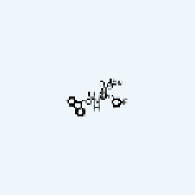 CC(C)(C)OC(=O)N1C[C@H](NC(=O)OCC2c3ccccc3-c3ccccc32)C[C@H]1Cc1cccc(F)c1